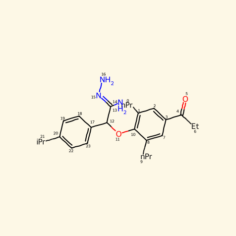 CCCc1cc(C(=O)CC)cc(CCC)c1OC(/C(N)=N/N)c1ccc(C(C)C)cc1